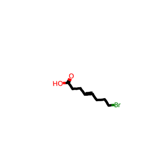 O=C(O)CCC=CCCCBr